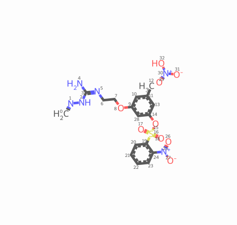 C=NNC(N)=NCCOc1cc(C)cc(OS(=O)(=O)c2ccccc2[N+](=O)[O-])c1.O=[N+]([O-])O